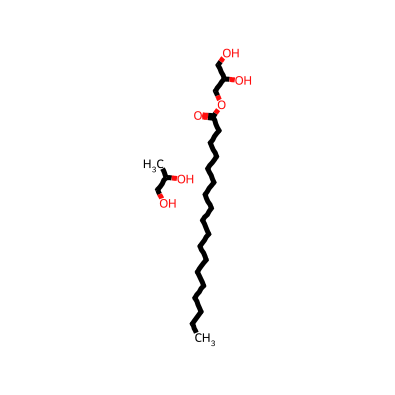 CC(O)CO.CCCCCCCCCCCCCCCCCC(=O)OCC(O)CO